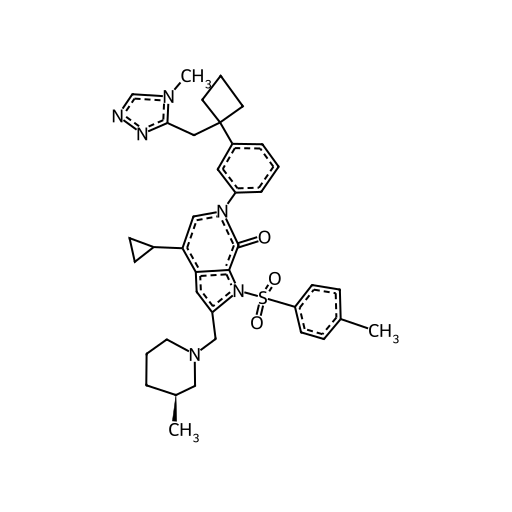 Cc1ccc(S(=O)(=O)n2c(CN3CCC[C@H](C)C3)cc3c(C4CC4)cn(-c4cccc(C5(Cc6nncn6C)CCC5)c4)c(=O)c32)cc1